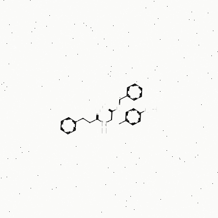 O=C(CCc1ccccc1)N[C@@H](Cc1ccc(O)cc1)C(=O)OCc1ccccc1